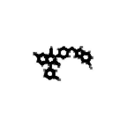 O=c1c2cc(F)cnc2n(-c2cccc(I)c2)c(=O)n1C1CCC(Cc2cn3cc(F)ccc3n2)CC1